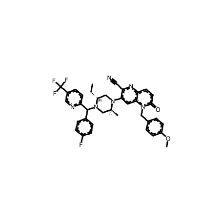 CC[C@@H]1CN(c2cc3c(ccc(=O)n3Cc3ccc(OC)cc3)nc2C#N)[C@@H](C)CN1C(c1ccc(F)cc1)c1ccc(C(F)(F)F)cn1